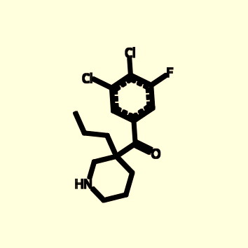 CCCC1(C(=O)c2cc(F)c(Cl)c(Cl)c2)CCCNC1